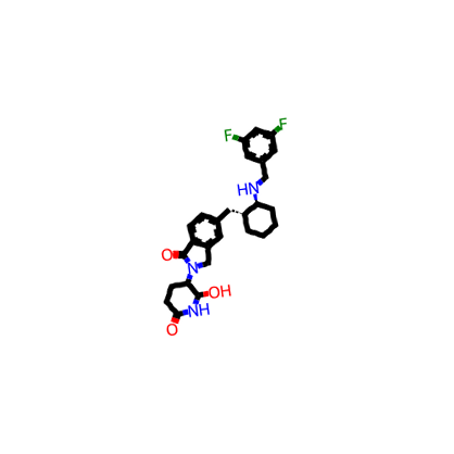 O=C1CCC(N2Cc3cc(C[C@H]4CCCC[C@@H]4NCc4cc(F)cc(F)c4)ccc3C2=O)C(O)N1